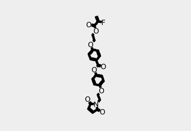 C=C(F)C(=O)OCCOc1ccc(C(=O)Oc2ccc(OCCN3C(=O)C=CC3=O)cc2)cc1